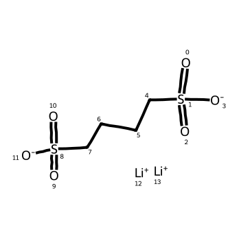 O=S(=O)([O-])CCCCS(=O)(=O)[O-].[Li+].[Li+]